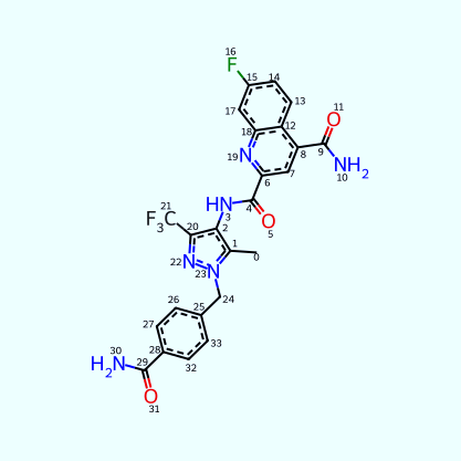 Cc1c(NC(=O)c2cc(C(N)=O)c3ccc(F)cc3n2)c(C(F)(F)F)nn1Cc1ccc(C(N)=O)cc1